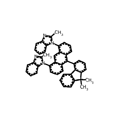 Cc1nc2ccccc2n1-c1cccc2c(-c3cccc4c3-c3ccccc3C4(C)C)c3cccc(-n4c(C)nc5ccccc54)c3cc12